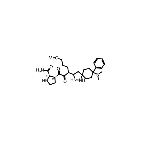 COCCCC(C(=O)C(=O)[C@H]1CCN[C@H]1C(N)=O)C1CC2(CCC(c3ccccc3)(N(C)C)CC2)NN1